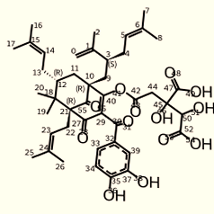 C=C(C)[C@@H](CC=C(C)C)C[C@@]12C[C@@H](CC=C(C)C)C(C)(C)[C@@](CC=C(C)C)(C(=O)C(C(=O)c3ccc(O)c(O)c3)=C1OC(=O)CC(O)(C(=O)O)C(O)C(=O)O)C2=O